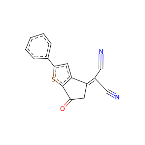 N#CC(C#N)=C1CC(=O)c2sc(-c3ccccc3)cc21